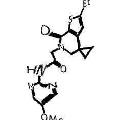 CCc1cc2c(s1)C(=O)N(CC(=O)Nc1ncc(OC)cn1)CC21CC1